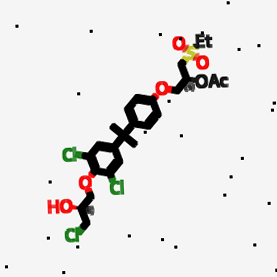 CCS(=O)(=O)C[C@H](COc1ccc(C(C)(C)c2cc(Cl)c(OC[C@@H](O)CCl)c(Cl)c2)cc1)OC(C)=O